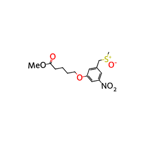 COC(=O)CCCCOc1cc(C[S+](C)[O-])cc([N+](=O)[O-])c1